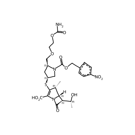 C[C@@H](O)[C@H]1C(=O)N2C(C(=O)O)=C(S[C@H]3C[C@@H](COCCOC(N)=O)N(C(=O)OCc4ccc([N+](=O)[O-])cc4)C3)[C@H](C)[C@H]12